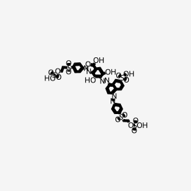 O=C(O)c1cc(O)c(N=Nc2ccc(N=Nc3ccc(S(=O)(=O)CCOS(=O)(=O)O)cc3)c3ccc(S(=O)(=O)O)cc23)c(O)c1N=Nc1ccc(S(=O)(=O)CCOS(=O)(=O)O)cc1